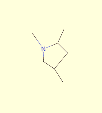 CC1CC(C)N(C)C1